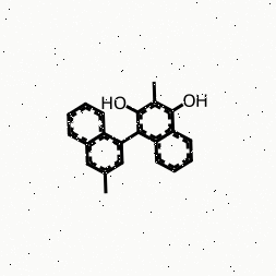 Cc1cc(-c2c(O)c(C)c(O)c3ccccc23)c2ccccc2c1